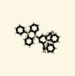 N#CC1=CC(N2c3ccccc3B(c3ccccc3)c3ccccc32)=CC(C#N)=P1(c1ccccc1)c1ccccc1